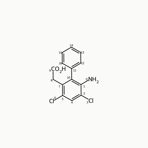 Nc1c(Cl)cc(Cl)c(CC(=O)O)c1-c1ccccc1